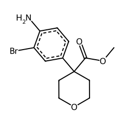 COC(=O)C1(c2ccc(N)c(Br)c2)CCOCC1